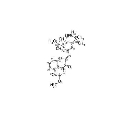 COC(=O)CN1C(=O)C(=Cc2cc(C(C)(C)C)c(O)c(C(C)(C)C)c2)Sc2ccccc21